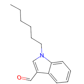 CCCCCCn1cc(C=O)c2ccccc21